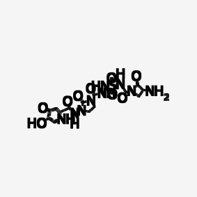 NC1CN(C(=O)NS(=O)(=O)NNC(=O)N2CCN(NC(=O)c3cc(=O)c(O)c[nH]3)C2=O)C1=O